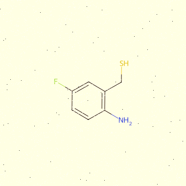 Nc1ccc(F)cc1CS